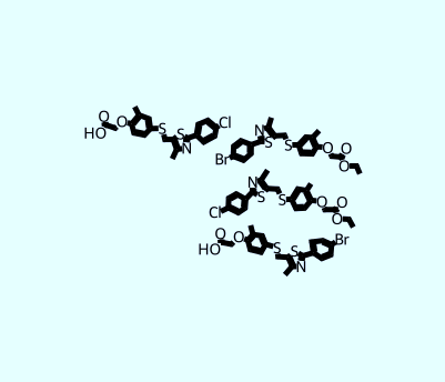 CCOC(=O)COc1ccc(SCc2sc(-c3ccc(Br)cc3)nc2C)cc1C.CCOC(=O)COc1ccc(SCc2sc(-c3ccc(Cl)cc3)nc2C)cc1C.Cc1cc(SCc2sc(-c3ccc(Br)cc3)nc2C)ccc1OCC(=O)O.Cc1cc(SCc2sc(-c3ccc(Cl)cc3)nc2C)ccc1OCC(=O)O